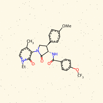 CCn1ccc(C)c(N2C[C@@H](c3ccc(OC)cc3)[C@H](NC(=O)c3ccc(OC(F)(F)F)cc3)C2=O)c1=O